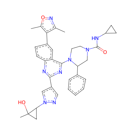 Cc1noc(C)c1-c1ccc2nc(-c3cnn(C4CC4(C)O)c3)nc(N3CCN(C(=O)NC4CC4)CC3c3ccccc3)c2c1